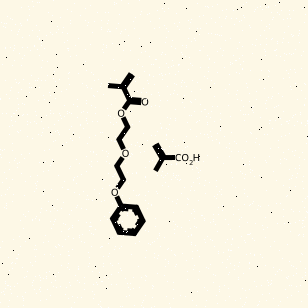 C=C(C)C(=O)O.C=C(C)C(=O)OCCOCCOc1ccccc1